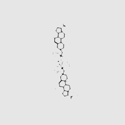 CC(=O)[C@H]1CCC2C3C(O)C=C4C[C@@](O)(CC(C)(C)[Si](C)(C)O[Si](C)(C)C(C)(C)C[C@]5(O)CC[C@@]6(C)C(=CC(O)C7C6CC[C@@]6(C)C7CC[C@@H]6C(C)=O)C5)CC[C@]4(C)C3CC[C@@]21C